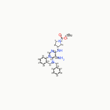 CC(C)(C)OC(=O)N1CC[C@@H](Nc2ncnc(N(Cc3ccccc3)Cc3ccccc3)c2N)C1